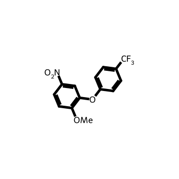 COc1ccc([N+](=O)[O-])cc1Oc1ccc(C(F)(F)F)cc1